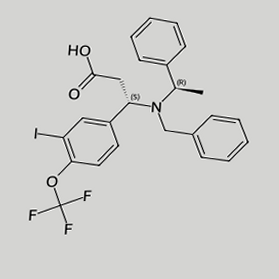 C[C@H](c1ccccc1)N(Cc1ccccc1)[C@@H](CC(=O)O)c1ccc(OC(F)(F)F)c(I)c1